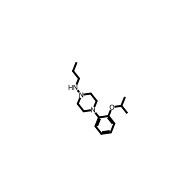 CCCNN1CCN(c2ccccc2OC(C)C)CC1